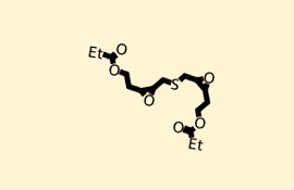 CCC(=O)OCCC1OC1CSCC1OC1CCOC(=O)CC